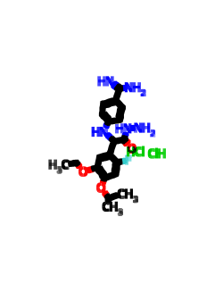 CCOc1cc(C(Nc2ccc(C(=N)N)cc2)C(=O)NN)c(F)cc1OC(C)C.Cl.Cl